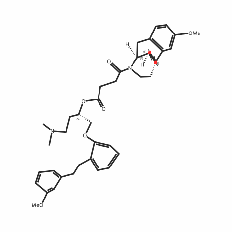 COc1cccc(CCc2ccccc2OC[C@H](CCN(C)C)OC(=O)CCC(=O)N2CC[C@@]34CCCC[C@@H]3[C@@H]2Cc2ccc(OC)cc24)c1